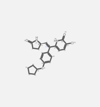 O=C1CC[C@H](/C=C(\c2ccc(SC3CCCC3)cc2)c2ccc(Cl)c(=O)[nH]2)N1